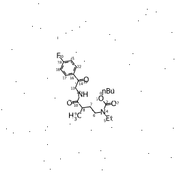 CCCCOC(=O)N(CC)CCC(C)C(=O)NCC(=O)c1ccc(F)cc1